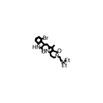 CCN(CC)CCN1CCc2[nH]c(C=C3C(=O)Nc4cccc(Br)c43)c(C)c2C1=O